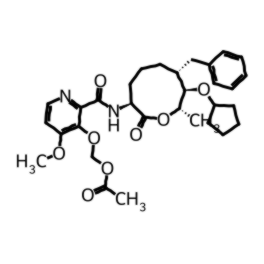 COc1ccnc(C(=O)N[C@H]2CCC[C@H](Cc3ccccc3)[C@@H](OC3CCCC3)[C@H](C)OC2=O)c1OCOC(C)=O